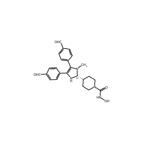 CN1C(c2ccc(C=O)cc2)=C(c2ccc(C=O)cc2)N[C@H]1C1CCN(C(=O)NO)CC1